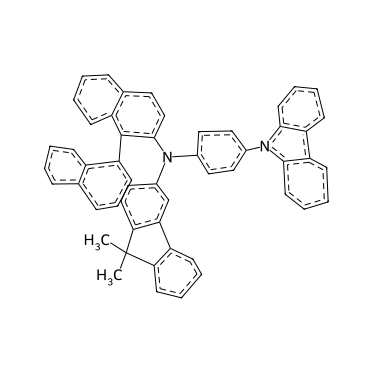 CC1(C)c2ccccc2-c2cc(N(c3ccc(-n4c5ccccc5c5ccccc54)cc3)c3ccc4ccccc4c3-c3cccc4ccccc34)ccc21